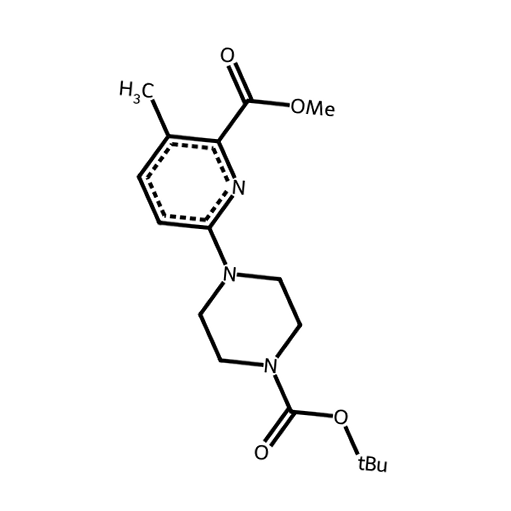 COC(=O)c1nc(N2CCN(C(=O)OC(C)(C)C)CC2)ccc1C